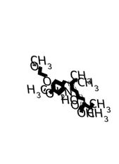 COCCCOc1cc(C[C@@H](C(C)C)[C@@H](N)C[C@@H](O)C[C@H](C(=O)O)C(C)C)ccc1OC